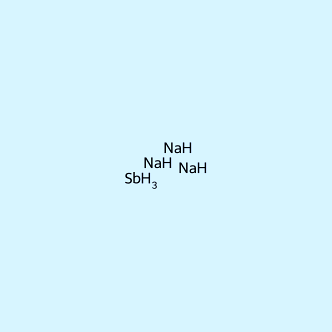 [NaH].[NaH].[NaH].[SbH3]